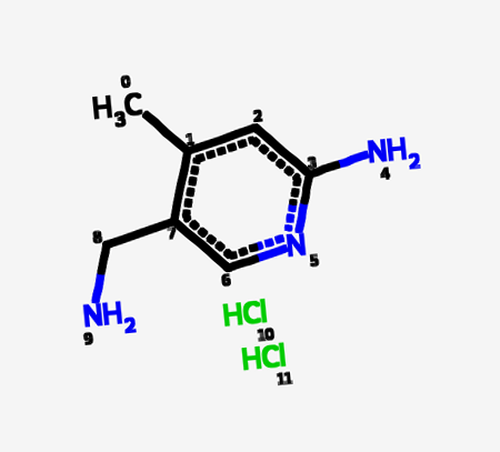 Cc1cc(N)ncc1CN.Cl.Cl